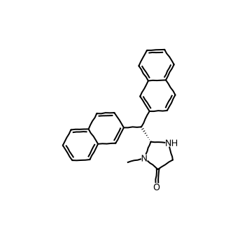 CN1C(=O)CN[C@H]1C(c1ccc2ccccc2c1)c1ccc2ccccc2c1